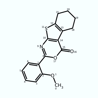 COc1ccccc1-c1nc2sc3c(c2c(=O)o1)CCCC3